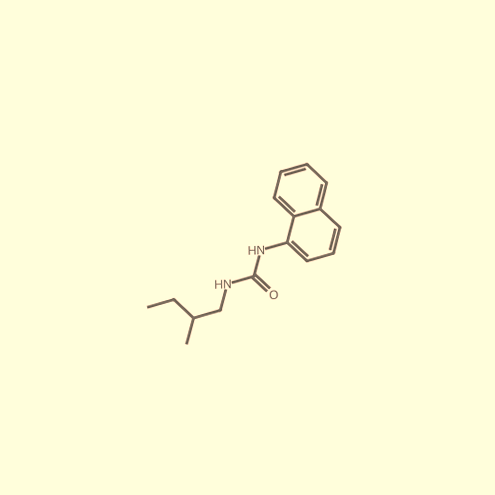 CCC(C)CNC(=O)Nc1cccc2ccccc12